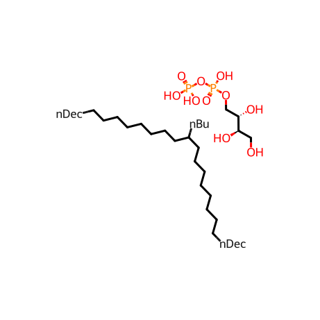 CCCCCCCCCCCCCCCCCCC(CCCC)CCCCCCCCCCCCCCCCCC.O=P(O)(O)OP(=O)(O)OC[C@H](O)[C@H](O)CO